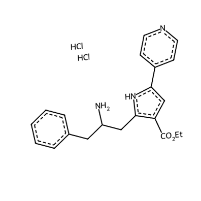 CCOC(=O)c1cc(-c2ccncc2)[nH]c1CC(N)Cc1ccccc1.Cl.Cl